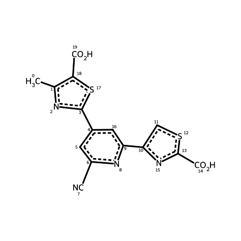 Cc1nc(-c2cc(C#N)nc(-c3csc(C(=O)O)n3)c2)sc1C(=O)O